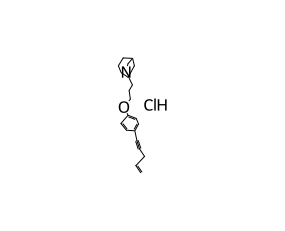 C=CCC#Cc1ccc(OCCCN2CC3CCC2CC3)cc1.Cl